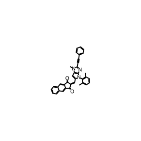 Cc1cccc(C)c1-n1c(C=C2C(=O)c3cc4ccccc4cc3C2=O)cc2c1nc(C#Cc1ccccc1)n2C